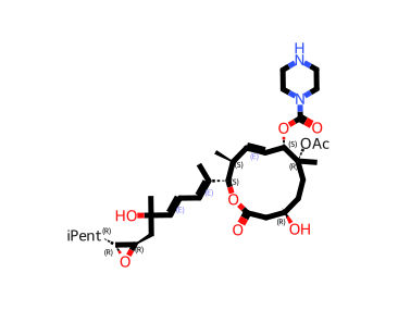 CCC[C@@H](C)[C@H]1O[C@@H]1CC(C)(O)/C=C/C=C(\C)[C@H]1OC(=O)C[C@H](O)CC[C@@](C)(OC(C)=O)[C@@H](OC(=O)N2CCNCC2)/C=C/[C@@H]1C